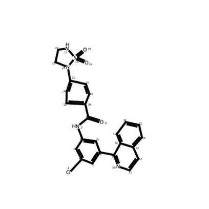 O=C(Nc1cc(Cl)cc(-c2nccc3ccccc23)c1)c1ccc(N2CCNS2(=O)=O)cc1